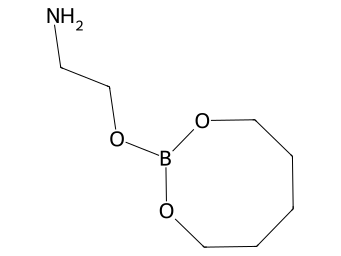 NCCOB1OCCCCCO1